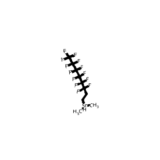 [CH3][SnH]([CH3])[CH2]CC(F)(F)C(F)(F)C(F)(F)C(F)(F)C(F)(F)C(F)(F)F